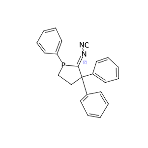 [C-]#[N+]/N=C1\P(c2ccccc2)CCC1(c1ccccc1)c1ccccc1